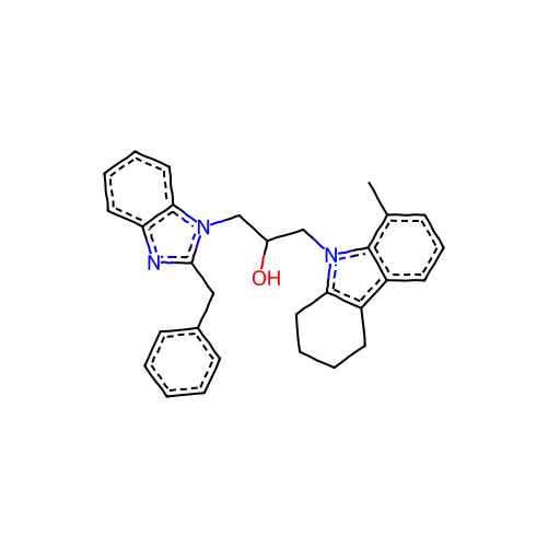 Cc1cccc2c3c(n(CC(O)Cn4c(Cc5ccccc5)nc5ccccc54)c12)CCCC3